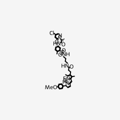 COc1ccc(C2=[N+]3C(=Cc4c(C)c(CCC(=O)NCCCCNS(=O)(=O)c5cc(NC(=O)[C@H](C)n6ncc(Cl)cc6=O)ccc5C)c(C)n4[B-]3(F)F)C=C2)cc1